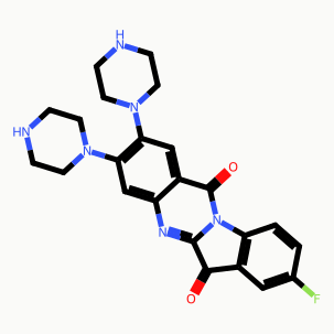 O=C1c2cc(F)ccc2-n2c1nc1cc(N3CCNCC3)c(N3CCNCC3)cc1c2=O